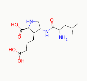 CC(C)C[C@H](N)C(=O)N[C@H]1CN[C@H](C(=O)O)[C@@H]1CCCB(O)O